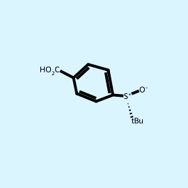 CC(C)(C)[S@@+]([O-])c1ccc(C(=O)O)cc1